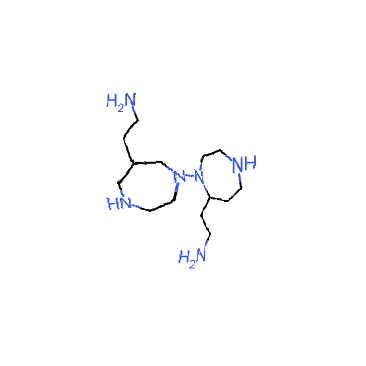 NCCC1CNCCN(N2CCNCCC2CCN)C1